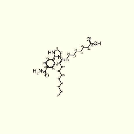 C1=NCCN1.CCCCCCCC/C=C\CCCCCCCC(=O)O.NC(=O)c1ccccc1